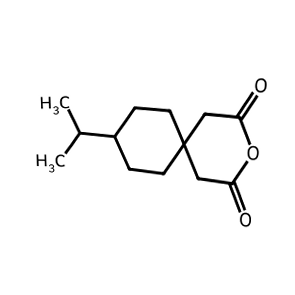 CC(C)C1CCC2(CC1)CC(=O)OC(=O)C2